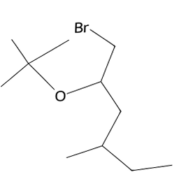 CCC(C)CC(CBr)OC(C)(C)C